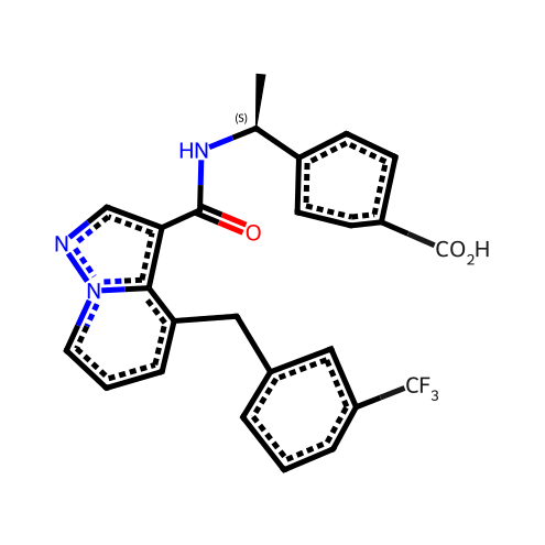 C[C@H](NC(=O)c1cnn2cccc(Cc3cccc(C(F)(F)F)c3)c12)c1ccc(C(=O)O)cc1